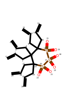 C=CCC1(CC=C)C(CC=C)(CC=C)S(=O)(=O)S(=O)(=O)S(=O)(=O)C1(CC=C)CC=C